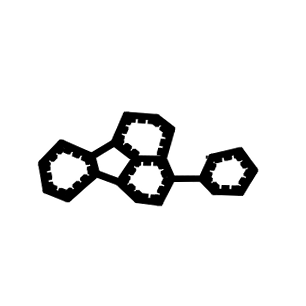 [c]1ccccc1-c1ccc2c3c(cccc13)-c1ccccc1-2